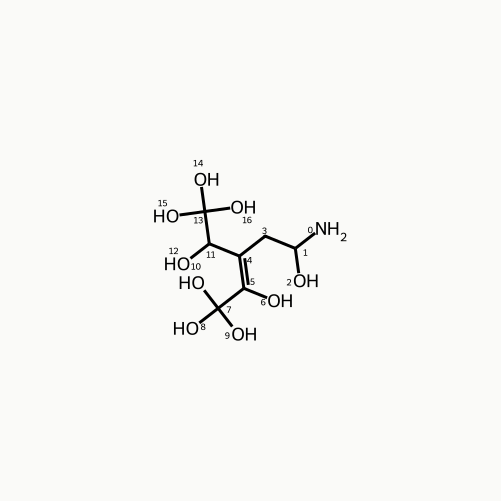 NC(O)CC(=C(O)C(O)(O)O)C(O)C(O)(O)O